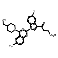 O=C(O)CCC(=O)c1cn(-c2nc(N3CCC(CO)CC3)c3cc(C(F)(F)F)ccc3n2)c2ccc(Cl)cc12